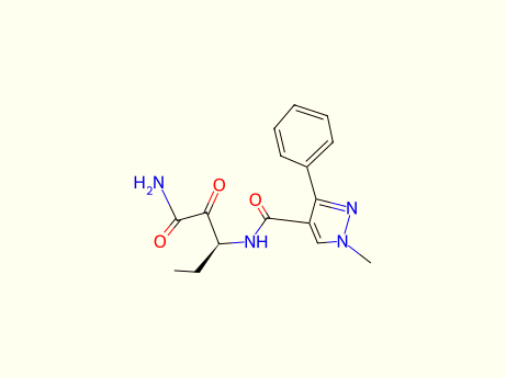 CC[C@H](NC(=O)c1cn(C)nc1-c1ccccc1)C(=O)C(N)=O